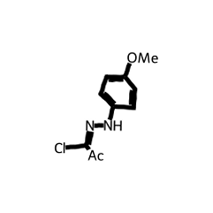 COc1ccc(N/N=C(/Cl)C(C)=O)cc1